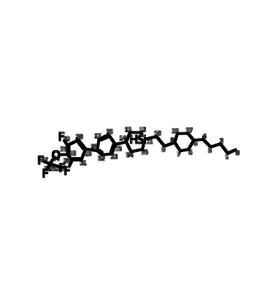 CCCCCC1CCC(CC[SiH]2CCC(c3ccc(-c4cc(F)c(OC(F)(F)F)c(F)c4)cc3)CC2)CC1